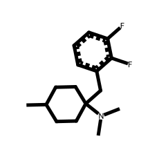 CC1CCC(Cc2cccc(F)c2F)(N(C)C)CC1